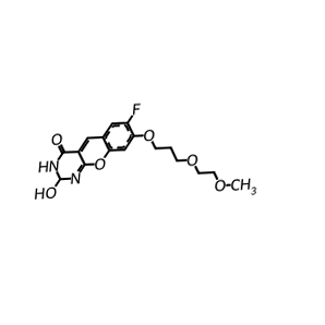 COCCOCCCOc1cc2c(cc1F)C=C1C(=O)NC(O)N=C1O2